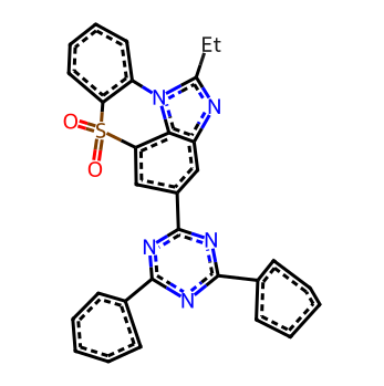 CCc1nc2cc(-c3nc(-c4ccccc4)nc(-c4ccccc4)n3)cc3c2n1-c1ccccc1S3(=O)=O